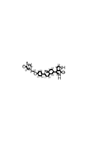 C[C@@H]1C(=O)N(C)CCN1CCOc1ccc(-c2ccc3cc(-c4c[nH]c(=O)c5[nH]ccc45)ccc3n2)cc1